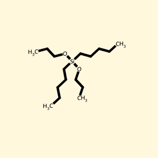 CCCCC[Si](CCCCC)(OCCC)OCCC